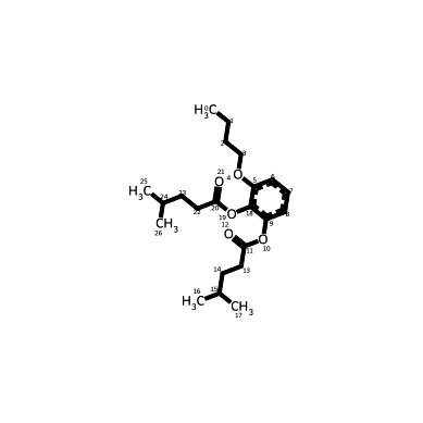 CCCCOc1cccc(OC(=O)CCC(C)C)c1OC(=O)CCC(C)C